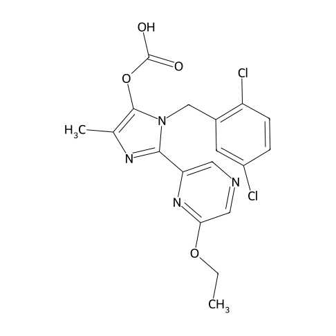 CCOc1cncc(-c2nc(C)c(OC(=O)O)n2Cc2cc(Cl)ccc2Cl)n1